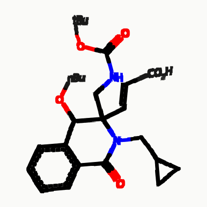 CCCCOC1c2ccccc2C(=O)N(CC2CC2)C1(C=CC(=O)O)CNC(=O)OC(C)(C)C